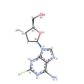 C[C@H]1C[C@H](n2cnc3c(N)nc(F)nc32)O[C@@H]1CO